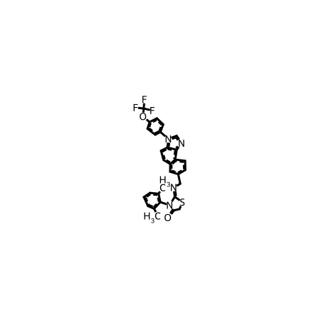 Cc1cccc(C)c1N1C(=O)CSC1=NCc1ccc2c(ccc3c2ncn3-c2ccc(OC(F)(F)F)cc2)c1